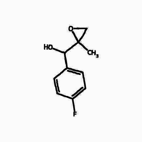 CC1(C(O)c2ccc(F)cc2)CO1